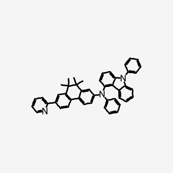 CC1(C)c2cc(-c3ccccn3)ccc2-c2ccc(N(c3ccccc3)c3cccc4c3c3ccccc3n4-c3ccccc3)cc2C1(C)C